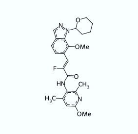 COc1cc(C)c(NC(=O)/C(F)=C/c2ccc3cnn(C4CCCCO4)c3c2OC)c(C)n1